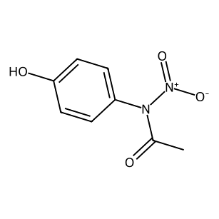 CC(=O)N(c1ccc(O)cc1)[N+](=O)[O-]